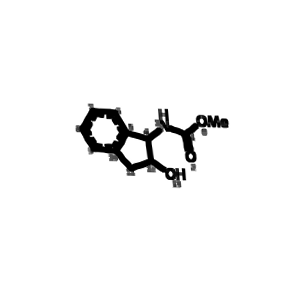 COC(=O)NC1c2ccccc2CC1O